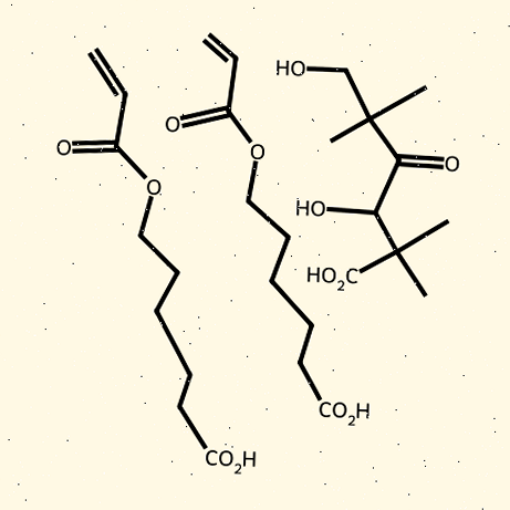 C=CC(=O)OCCCCCC(=O)O.C=CC(=O)OCCCCCC(=O)O.CC(C)(CO)C(=O)C(O)C(C)(C)C(=O)O